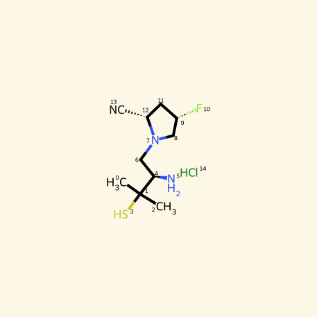 CC(C)(S)[C@H](N)CN1C[C@@H](F)C[C@H]1C#N.Cl